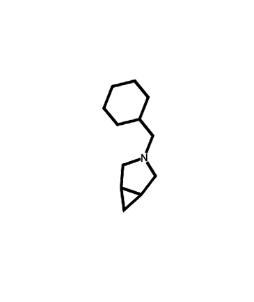 C1CCC(CN2CC3CC3C2)CC1